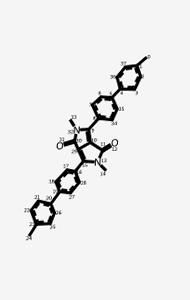 Cc1ccc(-c2ccc(C3=C4C(=O)N(C)C(c5ccc(-c6ccc(C)cc6)cc5)=C4C(=O)N3C)cc2)cc1